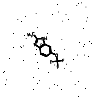 Cc1nc2ccc(OC(F)(F)F)cc2[nH]1